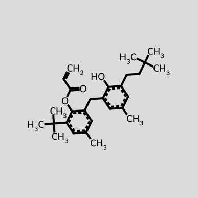 C=CC(=O)Oc1c(Cc2cc(C)cc(CCC(C)(C)C)c2O)cc(C)cc1C(C)(C)C